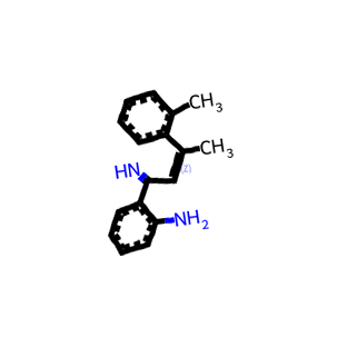 C/C(=C/C(=N)c1ccccc1N)c1ccccc1C